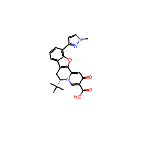 Cn1ccc(-c2cccc3c4c(oc23)-c2cc(=O)c(C(=O)O)cn2[C@H](C(C)(C)C)C4)n1